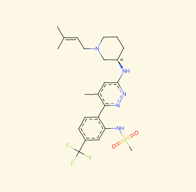 CC(C)=CCN1CCC[C@@H](Nc2cc(C)c(-c3ccc(C(F)(F)F)cc3NS(C)(=O)=O)nn2)C1